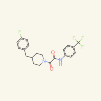 O=C(Nc1ccc(C(F)(F)F)cc1)C(=O)N1CCC(Cc2ccc(F)cc2)CC1